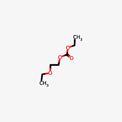 CCOCCOC(=O)OCC